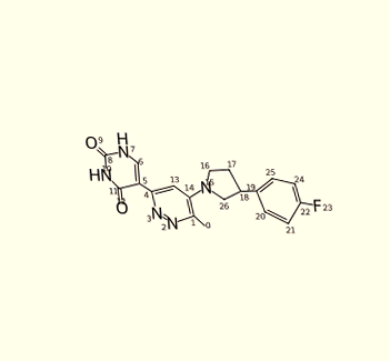 Cc1nnc(-c2c[nH]c(=O)[nH]c2=O)cc1N1CCC(c2ccc(F)cc2)C1